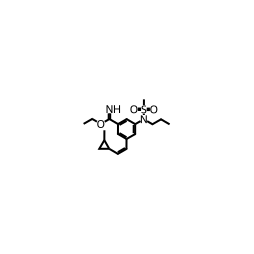 CCCN(c1cc(/C=C\C2CC2C)cc(C(=N)OCC)c1)S(C)(=O)=O